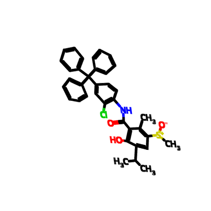 Cc1c([S+](C)[O-])cc(C(C)C)c(O)c1C(=O)Nc1ccc(C(c2ccccc2)(c2ccccc2)c2ccccc2)cc1Cl